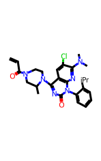 C=CC(=O)N1CCN(c2nc(=O)n(-c3ccccc3C(C)C)c3nc(N(C)C)c(Cl)cc23)C(C)C1